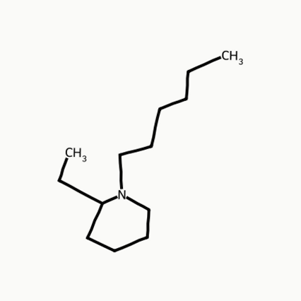 CCCCCCN1CCCCC1CC